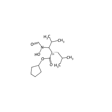 CC(C)C[C@H](C(=O)OC1CCCC1)C(C(C)C)N(O)C=O